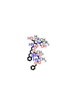 CC(CO)[C@H](NC(=O)CCCC(Cc1ccccc1)NC(=O)[C@H](C)NC(=O)[C@H](C)NC(=O)OCc1ccccc1)C(=O)N[C@H](CO)C(C)C